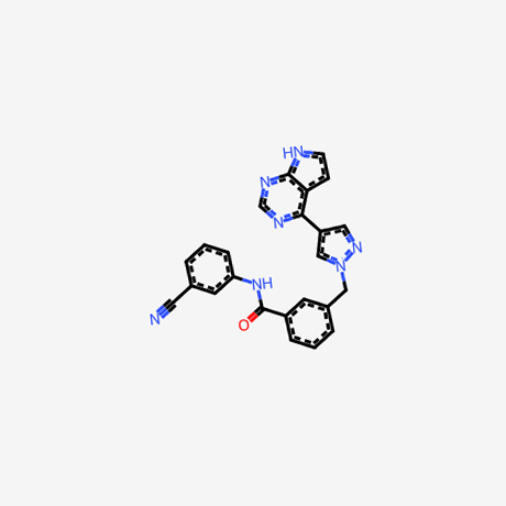 N#Cc1cccc(NC(=O)c2cccc(Cn3cc(-c4ncnc5[nH]ccc45)cn3)c2)c1